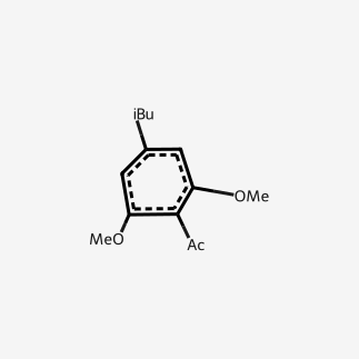 CCC(C)c1cc(OC)c(C(C)=O)c(OC)c1